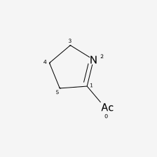 CC(=O)C1=NCCC1